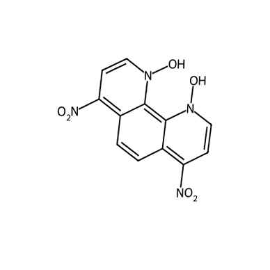 O=[N+]([O-])C1=c2ccc3c(c2N(O)C=C1)N(O)C=CC=3[N+](=O)[O-]